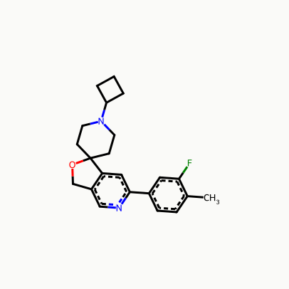 Cc1ccc(-c2cc3c(cn2)COC32CCN(C3CCC3)CC2)cc1F